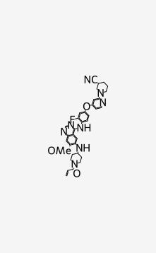 C=CC(=O)N1CCC(Nc2cc3c(Nc4ccc(Oc5ccnc(N6CCCC(C#N)C6)c5)cc4F)ncnc3cc2OC)CC1